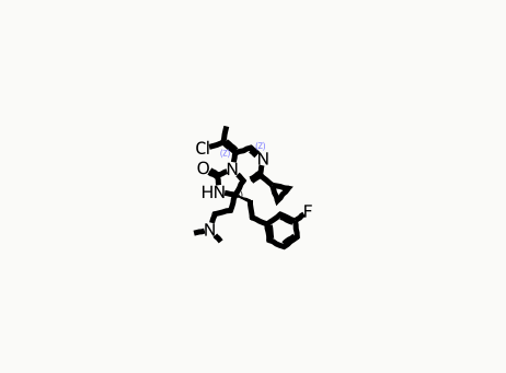 C=C(/N=C\C(=C(/C)Cl)N1C[C@](CCc2cccc(F)c2)(CCN(C)C)NC1=O)C1CC1